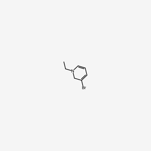 CCN1C=CC=C(Br)C1